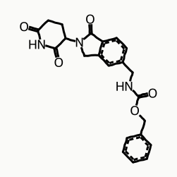 O=C1CCC(N2Cc3cc(CNC(=O)OCc4ccccc4)ccc3C2=O)C(=O)N1